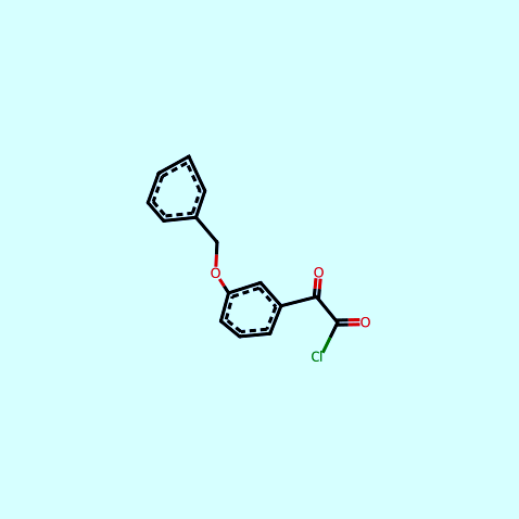 O=C(Cl)C(=O)c1cccc(OCc2ccccc2)c1